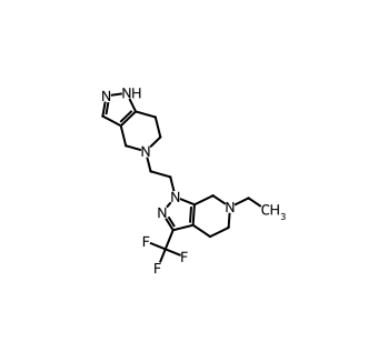 CCN1CCc2c(C(F)(F)F)nn(CCN3CCc4[nH]ncc4C3)c2C1